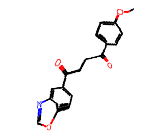 COc1ccc(C(=O)CCC(=O)c2ccc3ocnc3c2)cc1